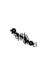 Cc1cccc(OCC(=O)NCCNC(=O)c2nc(-c3ccc(Cl)cc3)no2)c1C